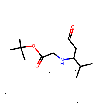 CC(C)C(CC=O)NCC(=O)OC(C)(C)C